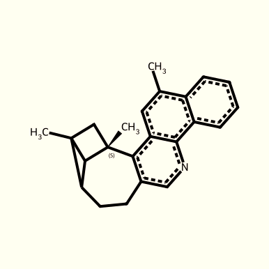 Cc1cc2c3c(cnc2c2ccccc12)CCC1C2C1(C)C[C@]32C